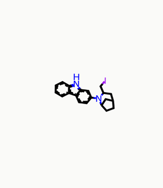 ICC1CC2CCC(C2)N1c1ccc2c(c1)[nH]c1ccccc12